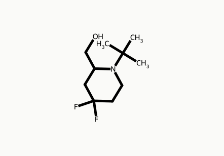 CC(C)(C)N1CCC(F)(F)CC1CO